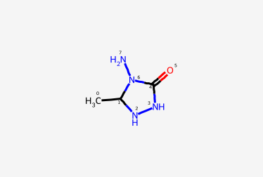 CC1NNC(=O)N1N